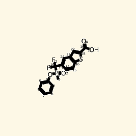 CP(=O)(Oc1ccccc1)C(F)(F)c1ccc2sc(C(=O)O)cc2c1